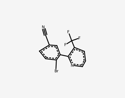 N#Cc1ccc(Br)c(-c2ncccc2C(F)(F)F)c1